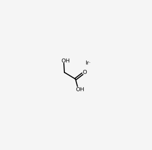 O=C(O)CO.[Ir]